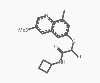 CCC(Oc1cc(C)c2ncc(SC)cc2c1)C(=O)NC1CCC1